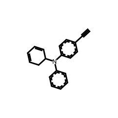 C#Cc1ccc(N(c2ccccc2)C2C=CC=CC2)cc1